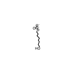 O=[N+]([O-])OCCCCCCCCO